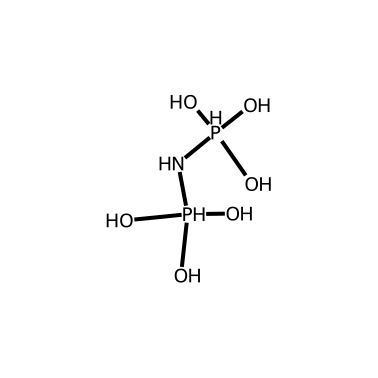 O[PH](O)(O)N[PH](O)(O)O